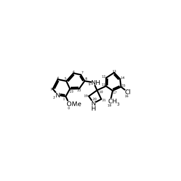 COc1nccc2ccc(NC3(c4cccc(Cl)c4C)CNC3)cc12